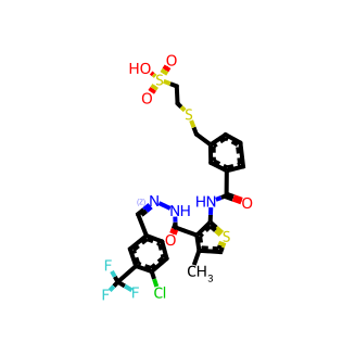 Cc1csc(NC(=O)c2cccc(CSCCS(=O)(=O)O)c2)c1C(=O)N/N=C\c1ccc(Cl)c(C(F)(F)F)c1